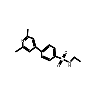 CCNS(=O)(=O)c1ccc(-c2cc(C)nc(C)c2)cc1